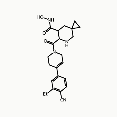 CCc1cc(C2=CCN(C(=O)C3NCC4(CC4)CC3C(=O)NO)CC2)ccc1C#N